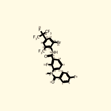 CN(C(=O)c1ccc(F)cc1)c1cccc(C(=O)Nc2c(Br)cc(C(F)(C(F)(F)F)C(F)(F)F)cc2C(F)(F)F)c1F